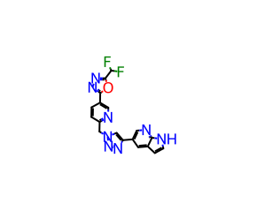 FC(F)c1nnc(-c2ccc(Cn3cc(-c4cnc5[nH]ccc5c4)nn3)nc2)o1